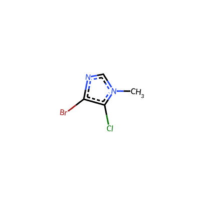 Cn1cnc(Br)c1Cl